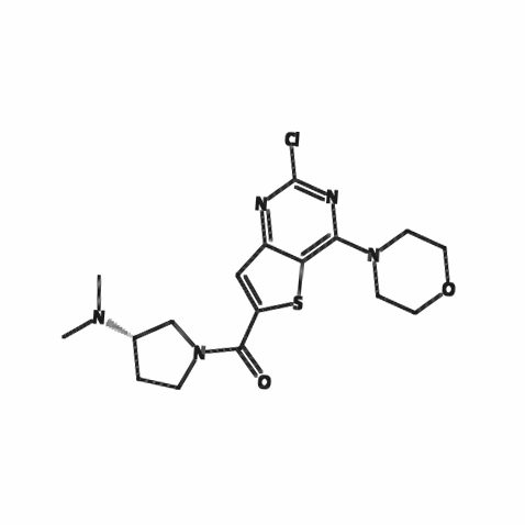 CN(C)[C@H]1CCN(C(=O)c2cc3nc(Cl)nc(N4CCOCC4)c3s2)C1